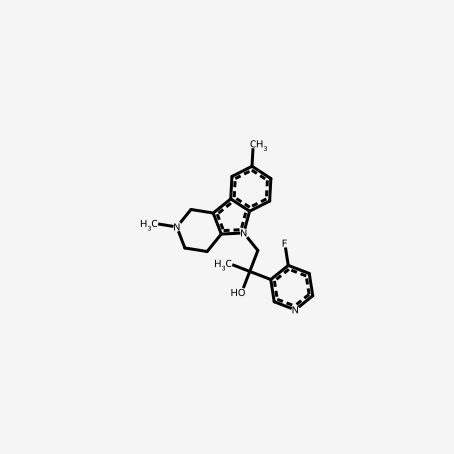 Cc1ccc2c(c1)c1c(n2CC(C)(O)c2cnccc2F)CCN(C)C1